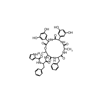 CC1NC(=O)C(Cc2ccccc2)NC(=O)C(NC(=O)C(Cc2ccccc2)NC(=O)c2ccc[nH]2)C(C)OC(=O)C(c2cc(O)cc(O)c2)NC(=O)C(c2cc(O)cc(O)c2)NC1=O